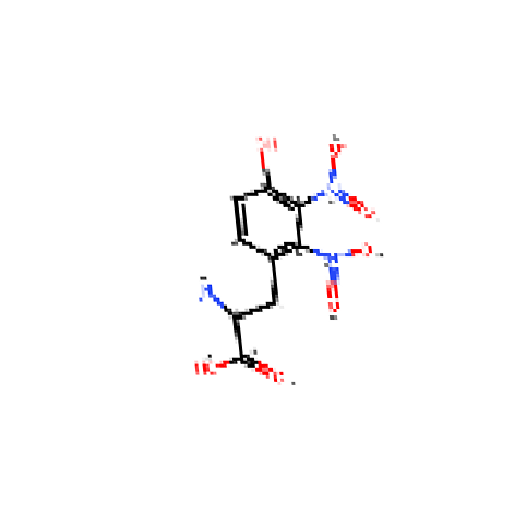 NC(Cc1ccc(O)c([N+](=O)[O-])c1[N+](=O)[O-])C(=O)O